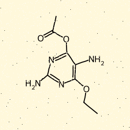 CCOc1nc(N)nc(OC(C)=O)c1N